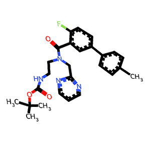 Cc1ccc(-c2ccc(F)c(C(=O)N(CCNC(=O)OC(C)(C)C)Cc3ncccn3)c2)cc1